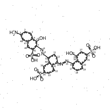 Nc1ccc2c(O)c(N=Nc3ccc(N=Nc4cccc5cc(S(=O)(=O)O)cc(O)c45)c4ccc(S(=O)(=O)O)cc34)c(S(=O)(=O)O)cc2c1